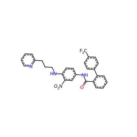 O=C(Nc1ccc(NCCCc2ccccn2)c([N+](=O)[O-])c1)c1ccccc1-c1ccc(C(F)(F)F)cc1